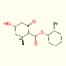 CC(C)C1CCCCC1OC(=O)C1C(=O)CC(O)C[C@@H]1C